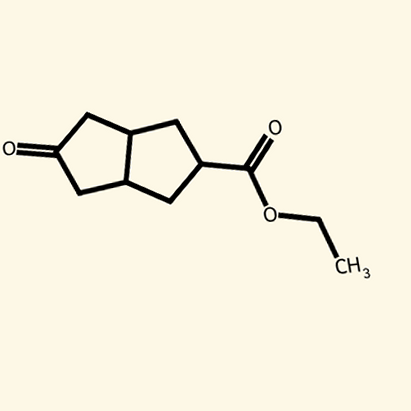 CCOC(=O)C1CC2CC(=O)CC2C1